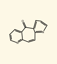 O=c1c2cccnc2ccc2ncccc12